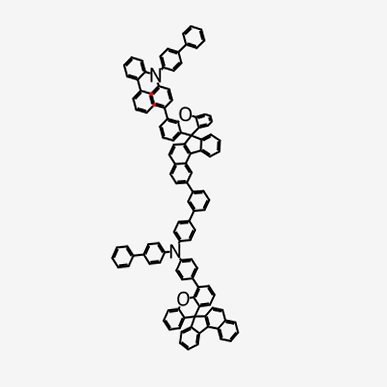 c1ccc(-c2ccc(N(c3ccc(-c4cccc(-c5ccc6ccc7c(c6c5)-c5ccccc5C75c6ccccc6Oc6c(-c7ccc(N(c8ccc(-c9ccccc9)cc8)c8ccccc8-c8ccccc8)cc7)cccc65)c4)cc3)c3ccc(-c4cccc5c4Oc4ccccc4C54c5ccccc5-c5c4ccc4ccccc54)cc3)cc2)cc1